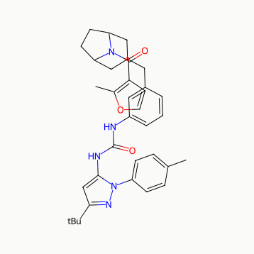 Cc1ccc(-n2nc(C(C)(C)C)cc2NC(=O)Nc2cccc(CC3CC4CCC(C3)N4C(=O)c3ccoc3C)c2)cc1